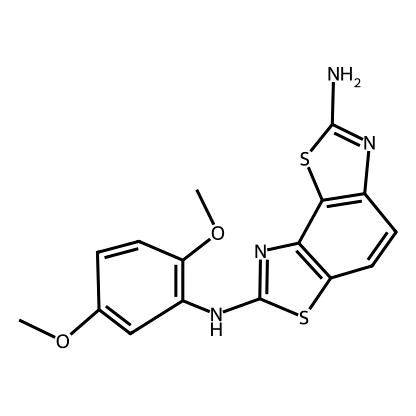 COc1ccc(OC)c(Nc2nc3c(ccc4nc(N)sc43)s2)c1